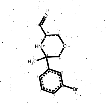 CC1(c2cccc(Br)c2)COCC(C=S)N1